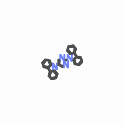 c1ccc2c(c1)c1ccccc1n2-c1cnc(-n2c3ccccc3c3ccccc32)nc1